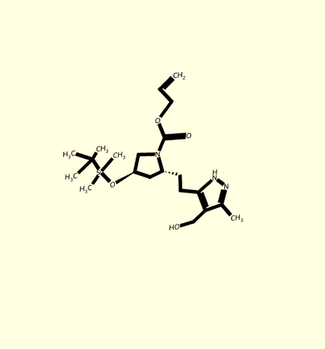 C=CCOC(=O)N1C[C@H](O[Si](C)(C)C(C)(C)C)C[C@H]1CCc1[nH]nc(C)c1CO